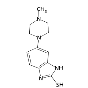 CN1CCN(c2ccc3nc(S)[nH]c3c2)CC1